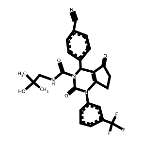 CC(C)(O)CNC(=O)N1C(=O)N(c2cccc(C(F)(F)F)c2)C2=C(C(=O)CC2)C1c1ccc(C#N)cc1